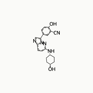 N#Cc1cc(-c2cnc3ccc(N[C@H]4CC[C@H](O)CC4)nn23)ccc1O